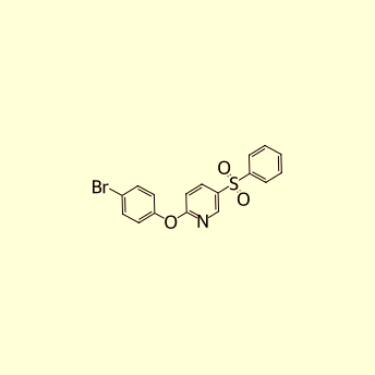 O=S(=O)(c1ccccc1)c1ccc(Oc2ccc(Br)cc2)nc1